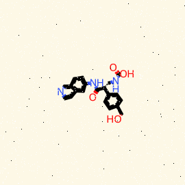 O=C(O)NC[C@@H](C(=O)Nc1ccc2cnccc2c1)c1ccc(CO)cc1